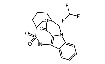 FC(F)F.O=C(O)c1c2c3ccccc3n1CC1CCCC(C1)S(=O)(=O)N2